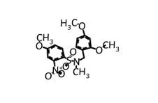 COc1ccc(CN(C)S(=O)(=O)c2ccc(OC)cc2[N+](=O)[O-])c(OC)c1